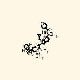 COc1cc(C(=O)N2[C@H]3CC[C@@H]2[C@H](N)C3)cc2nc(-c3cc4ccc([C@@H](C)NC(=O)C5CCOCC5)nc4n3CC3CC3)c(C)n12